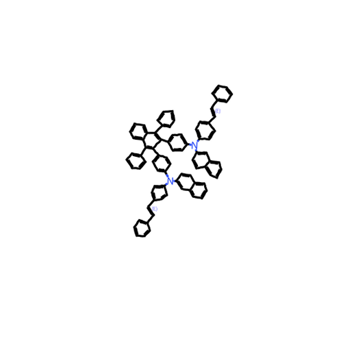 C(=C\c1ccc(N(c2ccc(-c3c(-c4ccc(N(c5ccc(/C=C/c6ccccc6)cc5)c5ccc6ccccc6c5)cc4)c(-c4ccccc4)c4ccccc4c3-c3ccccc3)cc2)c2ccc3ccccc3c2)cc1)/c1ccccc1